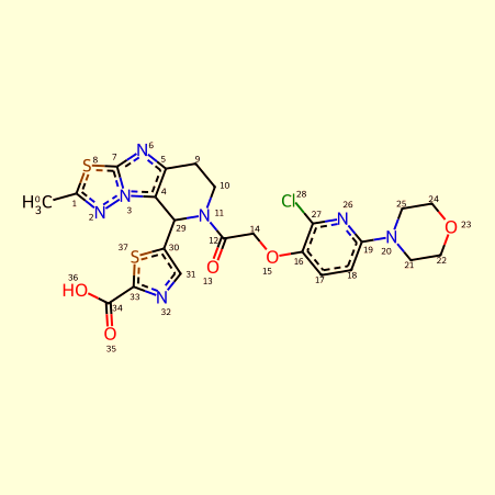 Cc1nn2c3c(nc2s1)CCN(C(=O)COc1ccc(N2CCOCC2)nc1Cl)C3c1cnc(C(=O)O)s1